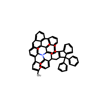 CC(C)(C)c1ccc(-c2ccccc2N(c2ccccc2-c2cccc3cccc(-c4ccccc4)c23)c2ccccc2C2C=CC3=C(C2)C(c2ccccc2)(c2ccccc2)c2ccccc23)cc1